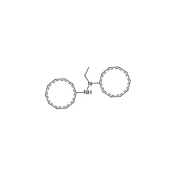 CCN(Nc1ccccccccc1)c1ccccccccc1